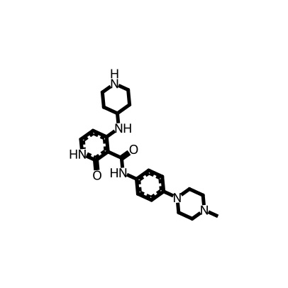 CN1CCN(c2ccc(NC(=O)c3c(NC4CCNCC4)cc[nH]c3=O)cc2)CC1